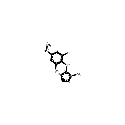 Cc1cc(NN)cc(Cl)c1Sc1nccn1C